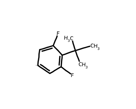 CC(C)(C)c1c(F)c[c]cc1F